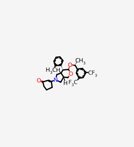 Cc1ccccc1[C@@H]1[C@@H](O[C@H](C)c2cc(C(F)(F)F)cc(C(F)(F)F)c2)OC[C@@H]2CN(C3=CC(=O)CCC3)C[C@H]21